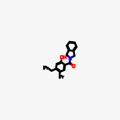 CC(C)Cc1cc(O)c(C(=O)N2Cc3ccccc3C2)cc1C(C)C